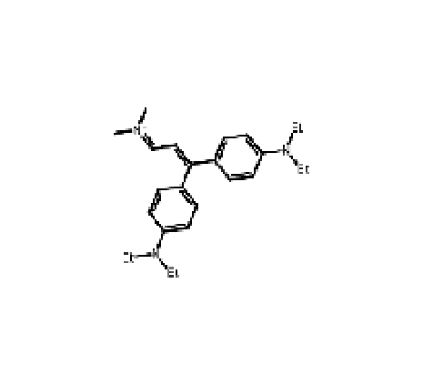 CCN(CC)c1ccc(C(=CC=[N+](C)C)c2ccc(N(CC)CC)cc2)cc1